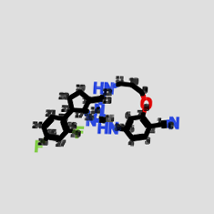 N#Cc1ccc2cc1OCCCNc1nc(nc3c1CCC3c1ccc(F)cc1F)N2